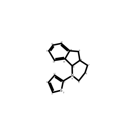 c1csc(N2CCCC3Cc4ccccc4C32)c1